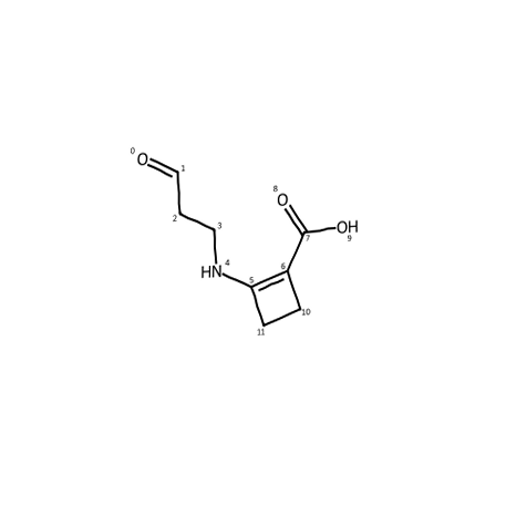 O=CCCNC1=C(C(=O)O)CC1